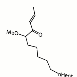 CC=CC(=O)C(CCCCCCCCCCCC)OC